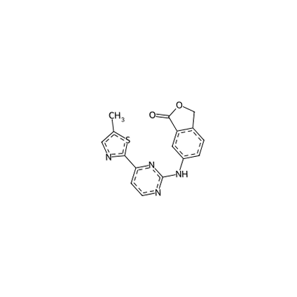 Cc1cnc(-c2ccnc(Nc3ccc4c(c3)C(=O)OC4)n2)s1